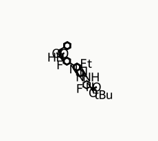 CCc1cc(-c2ccc(NS(=O)(=O)Cc3ccccc3)c(F)c2)nc2cnc(N[C@H]3C[C@H](F)CN(C(=O)OC(C)(C)C)C3)nc12